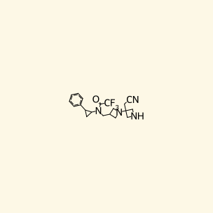 N#CCC1(N2CC(CN(C(=O)C(F)(F)F)C3CC3c3ccccc3)C2)CNC1